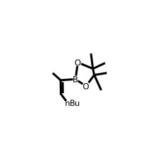 CCCC/C=C(/C)B1OC(C)(C)C(C)(C)O1